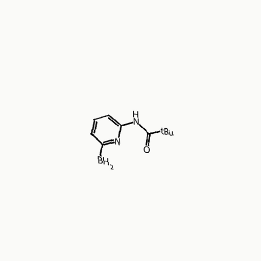 Bc1cccc(NC(=O)C(C)(C)C)n1